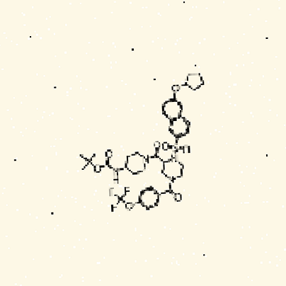 CC(C)(C)OC(=O)NC1CCN(C(=O)[C@@H]2CN(C(=O)c3ccc(OC(F)(F)F)cc3)CCN2S(=O)(=O)c2ccc3cc(OC4CCCC4)ccc3c2)CC1